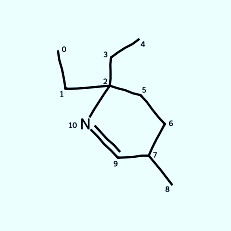 CCC1(CC)CCC(C)C=N1